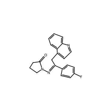 O=C1CCCN1/N=C(\Cc1ccnc2ccccc12)c1ccc(F)cc1